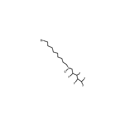 [O-][S+](CCCCCCCCCBr)CC(F)C(F)C(F)C(F)F